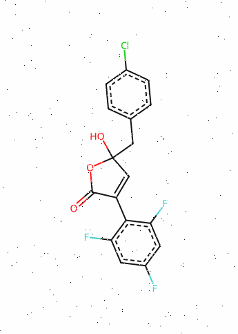 O=C1OC(O)(Cc2ccc(Cl)cc2)C=C1c1c(F)cc(F)cc1F